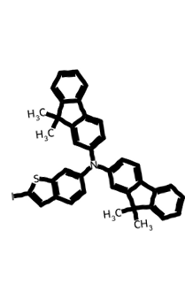 CC1(C)c2ccccc2-c2ccc(N(c3ccc4c(c3)C(C)(C)c3ccccc3-4)c3ccc4cc(I)sc4c3)cc21